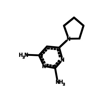 Nc1cc(N2CCCC2)nc(N)n1